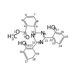 COC(=O)c1ccccc1-c1nc(C2=C(O)C=CCC2)nc(-c2ccccc2O)n1